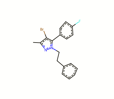 Cc1nn(CCc2ccccc2)c(-c2ccc(F)cc2)c1Br